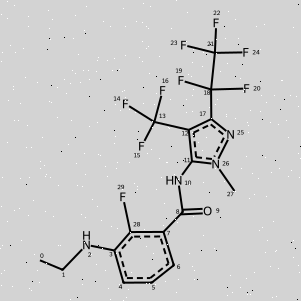 CCNc1cccc(C(=O)Nc2c(C(F)(F)F)c(C(F)(F)C(F)(F)F)nn2C)c1F